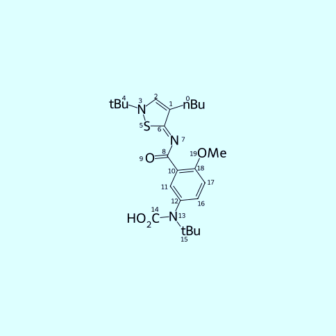 CCCCc1cn(C(C)(C)C)sc1=NC(=O)c1cc(N(C(=O)O)C(C)(C)C)ccc1OC